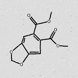 COC(=O)c1cc2c(cc1C(=O)OC)OCO2